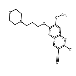 COc1cc2nc(Cl)c(C#N)cc2cc1OCCCN1CCOCC1